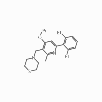 CCc1cccc(CC)c1-c1cc(OC(C)C)c(CN2CCSCC2)c(C)n1